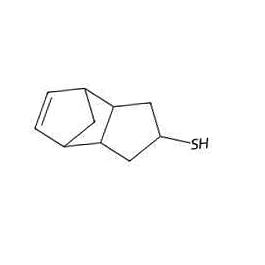 SC1CC2C3C=CC(C3)C2C1